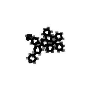 COc1ccc(C2(c3ccc(N4CCOCC4)cc3)C=Cc3c4c(c5ccccc5c3O2)C2=C(C=CCC2)C4(c2ccccc2)c2ccccc2)cc1